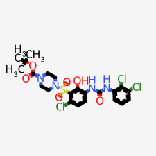 CC(C)(C)OC(=O)N1CCN(S(=O)(=O)c2c(Cl)ccc(NC(=O)Nc3cccc(Cl)c3Cl)c2O)CC1